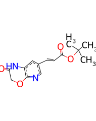 CC(C)(C)OC(=O)/C=C/c1cnc2c(c1)NC(=O)CO2